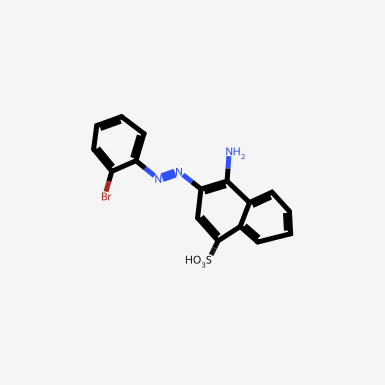 Nc1c(/N=N/c2ccccc2Br)cc(S(=O)(=O)O)c2ccccc12